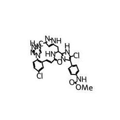 COC(=O)Nc1ccc(-c2nc(C(Cc3cc(C)n[nH]3)NC(=O)/C=C/c3cc(Cl)ccc3-n3cnnn3)[nH]c2Cl)cc1